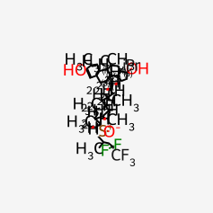 [2H]C([2H])([C@@H]1Cc2cc(O)c(C)cc2[C@@H]2[C@@H]1[C@@H]1CC[C@H](O)[C@@]1(C(C)C)CC2(C)C)C([2H])(C)C([2H])([2H])C([2H])(C)C([2H])([2H])C([2H])(C)C([2H])([2H])C([2H])(C)C([2H])([2H])[S+]([O-])CC(C)CC(F)(F)C(F)(F)F